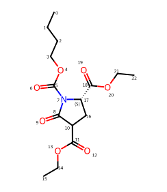 CCCCOC(=O)N1C(=O)C(C(=O)OCC)C[C@H]1C(=O)OCC